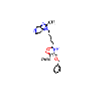 COC(=O)[C@H](COCc1ccccc1)NC(=O)CCCCCn1c(C)nc2cnccc21